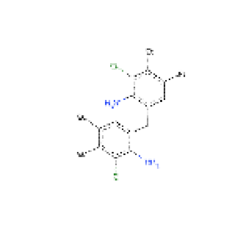 CCc1cc(Cc2cc(CC)c(CC)c(Cl)c2N)c(N)c(Cl)c1CC